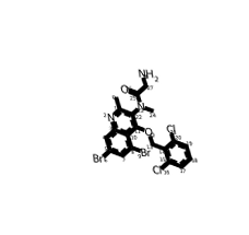 Cc1nc2cc(Br)cc(Br)c2c(OCc2c(Cl)cccc2Cl)c1N(C)C(=O)CN